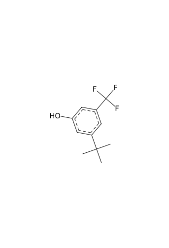 CC(C)(C)c1cc(O)cc(C(F)(F)F)c1